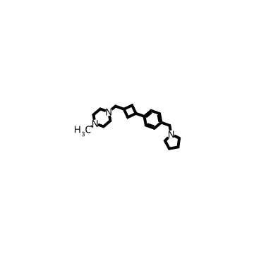 CN1CCN(CC2CC(c3ccc(CN4CCCC4)cc3)C2)CC1